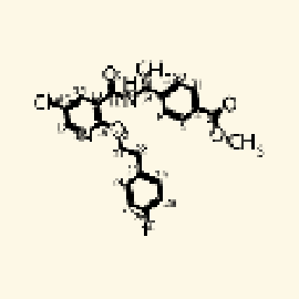 COC(=O)c1ccc([C@H](C)NC(=O)c2cc(Cl)cnc2OCCc2ccc(F)cc2)cc1